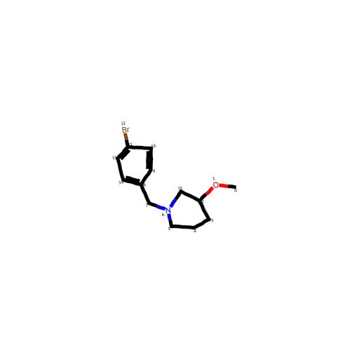 COC1CCCN(Cc2ccc(Br)cc2)C1